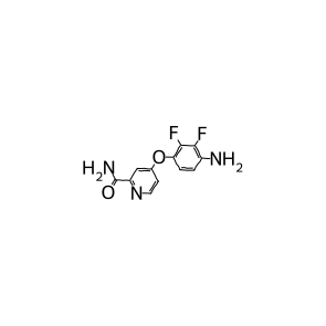 NC(=O)c1cc(Oc2ccc(N)c(F)c2F)ccn1